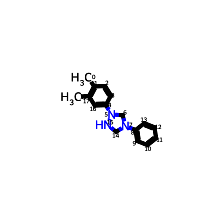 Cc1ccc(N2CN(c3ccccc3)CN2)cc1C